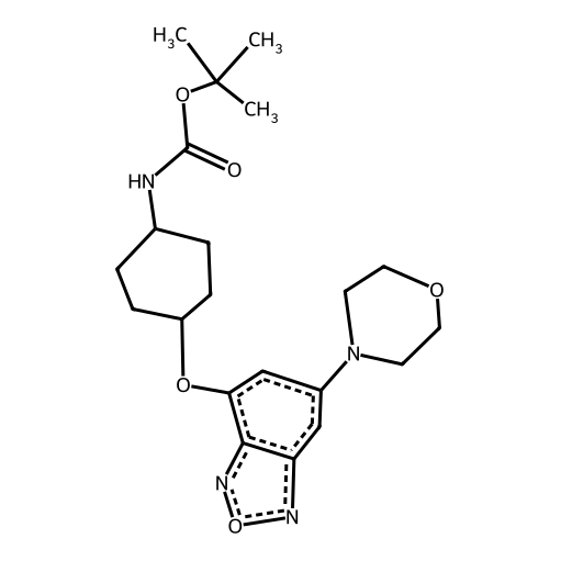 CC(C)(C)OC(=O)NC1CCC(Oc2cc(N3CCOCC3)cc3nonc23)CC1